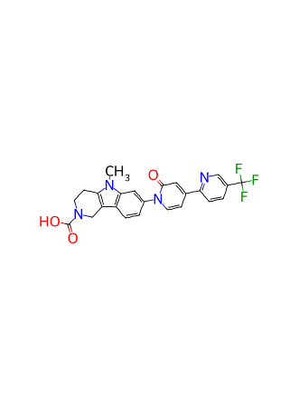 Cn1c2c(c3ccc(-n4ccc(-c5ccc(C(F)(F)F)cn5)cc4=O)cc31)CN(C(=O)O)CC2